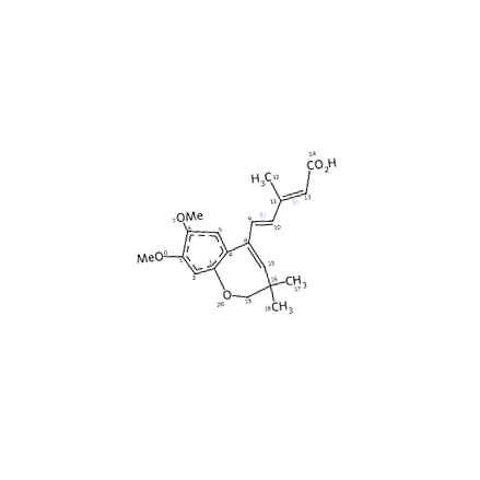 COc1cc2c(cc1OC)C(/C=C/C(C)=C/C(=O)O)=CC(C)(C)CO2